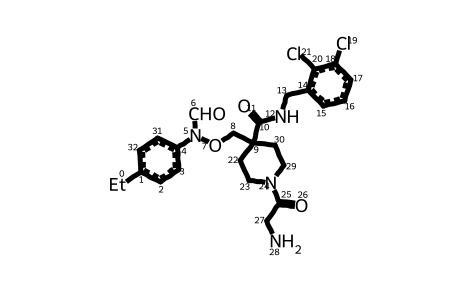 CCc1ccc(N(C=O)OCC2(C(=O)NCc3cccc(Cl)c3Cl)CCN(C(=O)CN)CC2)cc1